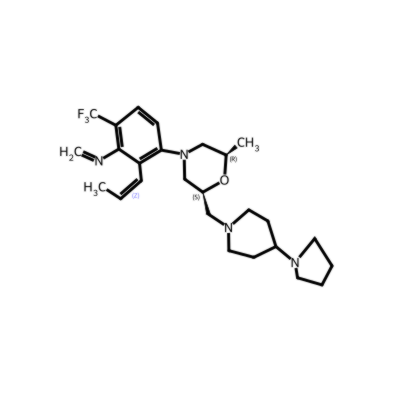 C=Nc1c(C(F)(F)F)ccc(N2C[C@H](CN3CCC(N4CCCC4)CC3)O[C@H](C)C2)c1/C=C\C